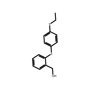 CCSc1ccc(Sc2ccccc2CO)cc1